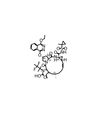 CCOc1nnc(O[C@@H]2C[C@H]3C(=O)N[C@]4(C(=O)NS(=O)(=O)C5(C)CC5)C[C@H]4C=CCC[C@H](C)C[C@@H](CC)[C@H](N(C(=O)O)C(C)(C)C(C)(F)F)C(=O)N3C2)c2ccccc12